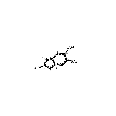 CC(=O)c1cn2cc(C(C)=O)c(O)cc2n1